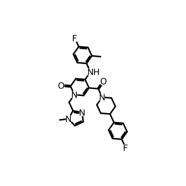 Cc1cc(F)ccc1Nc1cc(=O)n(Cc2nccn2C)cc1C(=O)N1CCC(c2ccc(F)cc2)CC1